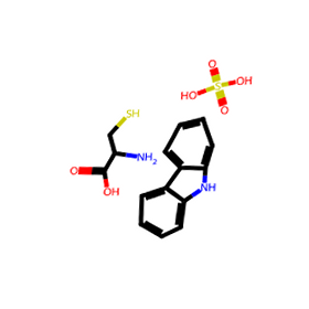 NC(CS)C(=O)O.O=S(=O)(O)O.c1ccc2c(c1)[nH]c1ccccc12